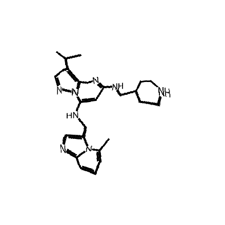 Cc1cccc2ncc(CNc3cc(NCC4CCNCC4)nc4c(C(C)C)cnn34)n12